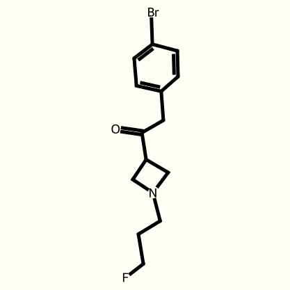 O=C(Cc1ccc(Br)cc1)C1CN(CCCF)C1